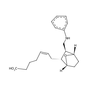 O=C(O)CCC/C=C\C[C@@H]1[C@@H](CNc2ccccc2)[C@@H]2CC[C@H]1O2